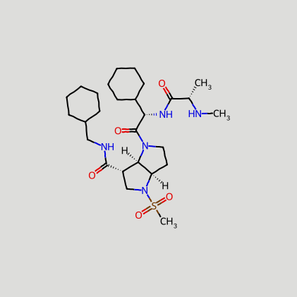 CN[C@@H](C)C(=O)N[C@H](C(=O)N1CC[C@@H]2[C@H]1[C@@H](C(=O)NCC1CCCCC1)CN2S(C)(=O)=O)C1CCCCC1